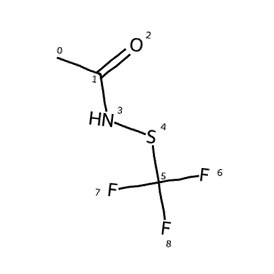 CC(=O)NSC(F)(F)F